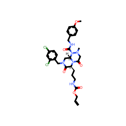 C=CCOC(=O)NCCC[C@H]1C(=O)N(Cc2ccc(Cl)cc2Cl)C[C@H]2N1C(=O)CN(C)N2C(=O)NCc1ccc(OC)cc1